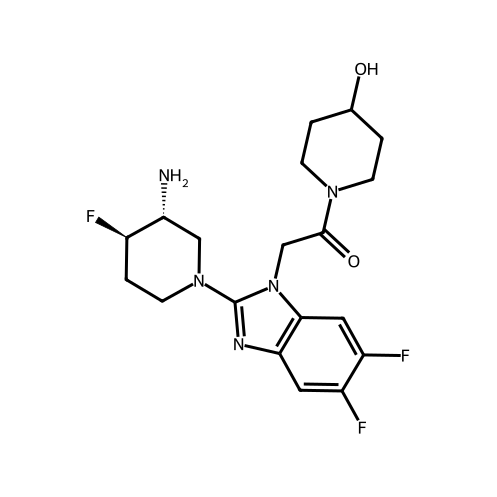 N[C@@H]1CN(c2nc3cc(F)c(F)cc3n2CC(=O)N2CCC(O)CC2)CC[C@H]1F